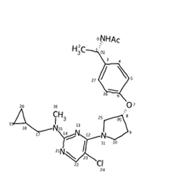 CC(=O)N[C@@H](C)c1ccc(O[C@@H]2CCN(c3nc(N(C)CC4CC4)ncc3Cl)C2)cc1